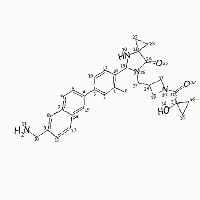 Cc1cc(-c2ccc3cc(CN)ccc3c2)ccc1C1NC2(CC2)C(=O)N1CC1CN(C(=O)C2(O)CC2)C1